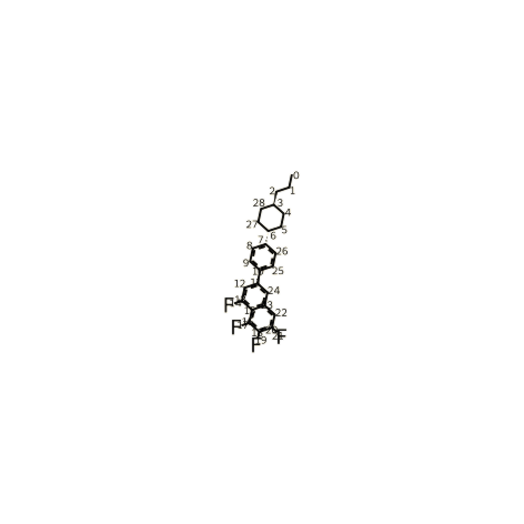 CCC[C@H]1CC[C@H](c2ccc(-c3cc(F)c4c(F)c(F)c(F)cc4c3)cc2)CC1